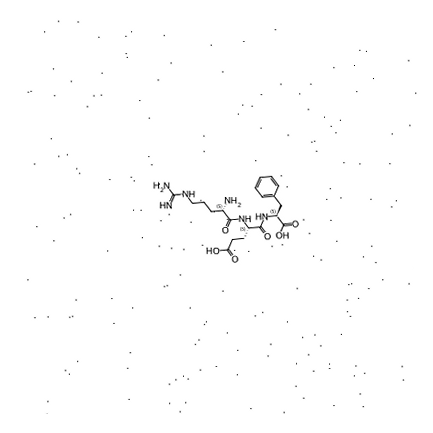 N=C(N)NCCC[C@H](N)C(=O)N[C@@H](CCC(=O)O)C(=O)N[C@@H](Cc1ccccc1)C(=O)O